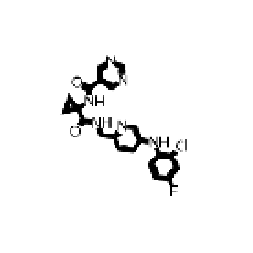 O=C(NC1(C(=O)NCc2ccc(Nc3ccc(F)cc3Cl)cn2)CC1)c1cncnc1